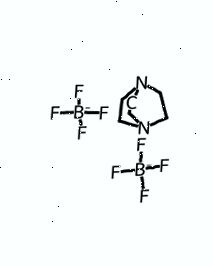 C1CN2CCN1CC2.F[B-](F)(F)F.F[B-](F)(F)F